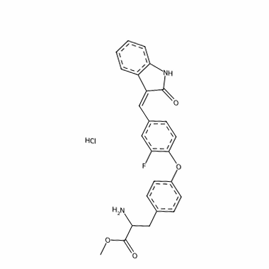 COC(=O)C(N)Cc1ccc(Oc2ccc(C=C3C(=O)Nc4ccccc43)cc2F)cc1.Cl